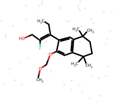 CCC(=C(F)CO)c1cc2c(cc1OCOC)C(C)(C)CCC2(C)C